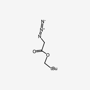 CC(C)(C)COC(=O)CN=[N+]=[N-]